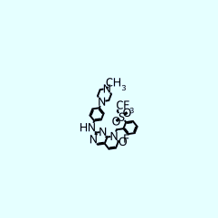 CN1CCN(c2ccc(Nc3ncc4ccc(=O)n(Cc5c(F)cccc5S(=O)(=O)CC(F)(F)F)c4n3)cc2)CC1